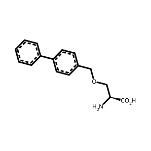 N[C@@H](COCc1ccc(-c2ccccc2)cc1)C(=O)O